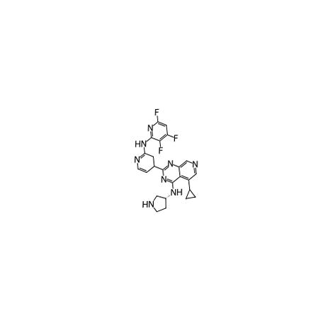 Fc1cc(F)c(F)c(NC2=NC=CC(c3nc(N[C@@H]4CCNC4)c4c(C5CC5)cncc4n3)C2)n1